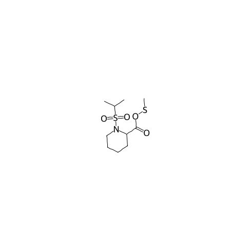 CSOC(=O)C1CCCCN1S(=O)(=O)C(C)C